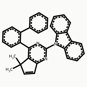 CC1(C)C=Cc2nc(-n3c4ccccc4c4ccccc43)nc(-c3ccccc3-c3ccccc3)c21